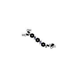 CCC(C)(C)C(=O)OCCN(C)c1ccc(/N=N/c2ccc(/N=N/c3ccc(N(CCO)CCO)cc3)cc2)cc1